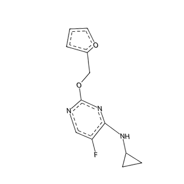 Fc1cnc(OCc2ccco2)nc1NC1CC1